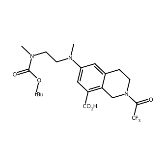 CN(CCN(C)c1cc2c(c(C(=O)O)c1)CN(C(=O)C(F)(F)F)CC2)C(=O)OC(C)(C)C